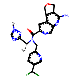 C[C@H](c1ncn(C)n1)N(Cc1ccc(C(F)F)cn1)C(=O)c1cc2c3c(c(N)nc2cn1)COC3